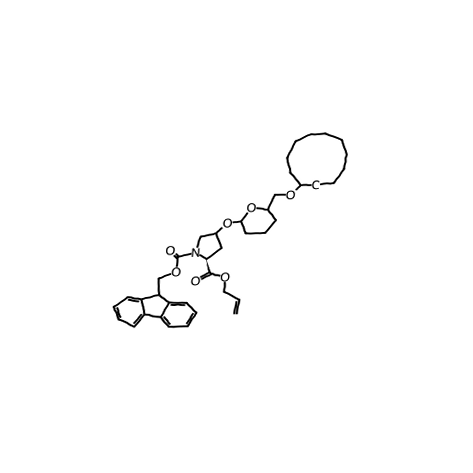 C=CCOC(=O)[C@@H]1CC(OC2CCCC(COC3CCCCCCCCCC3)O2)CN1C(=O)OCC1c2ccccc2-c2ccccc21